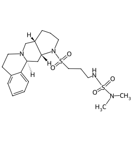 CN(C)S(=O)(=O)NCCCS(=O)(=O)N1CCC[C@H]2CN3CCc4ccccc4[C@@H]3C[C@H]21